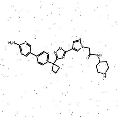 Nc1ncc(-c2ccc(C3(c4noc(-c5cnn(CC(=O)NC6CCNCC6)c5)n4)CCC3)cc2)cn1